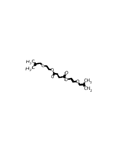 C=C(C)COCCOC(=O)CCC(=O)OCCOCC(=C)C